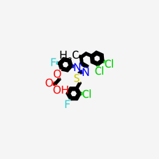 CC(Cc1ccc(Cl)c(Cl)c1)c1cnc(SCc2ccc(F)cc2Cl)n1-c1ccc(F)c(OCC(=O)O)c1